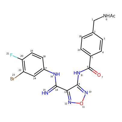 CC(=O)NCc1ccc(C(=O)Nc2nonc2C(=N)Nc2ccc(F)c(Br)c2)cc1